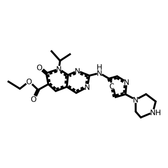 CCOC(=O)c1cc2cnc(Nc3ccc(N4CCNCC4)nc3)nc2n(C(C)C)c1=O